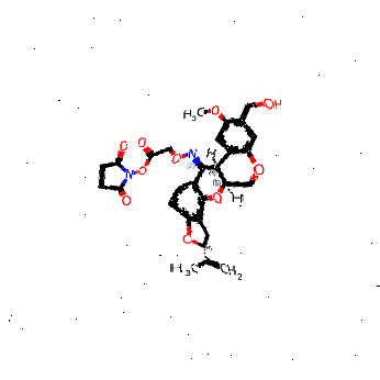 C=C(C)[C@H]1Cc2c(ccc3c2O[C@@H]2COc4cc(CO)c(OC)cc4[C@@H]2/C3=N/OCC(=O)ON2C(=O)CCC2=O)O1